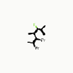 C=C(C)/C(F)=C(C)\C(=C(/C)C(C)C)C(C)C